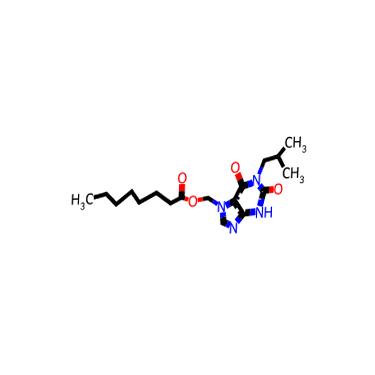 CCCCCCCC(=O)OCn1cnc2[nH]c(=O)n(CC(C)C)c(=O)c21